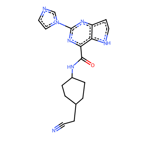 N#CCC1CCC(NC(=O)c2nc(-n3ccnc3)nc3cc[nH]c23)CC1